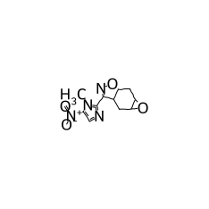 Cn1c([N+](=O)[O-])cnc1C1=NOC2CC3OC3CC12